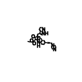 CCOC(=O)C1=C(Nc2ccc(C#CCN3CCN(C)CC3)cc2C)OC(=Cc2c[nH]c3ncccc23)C1=O